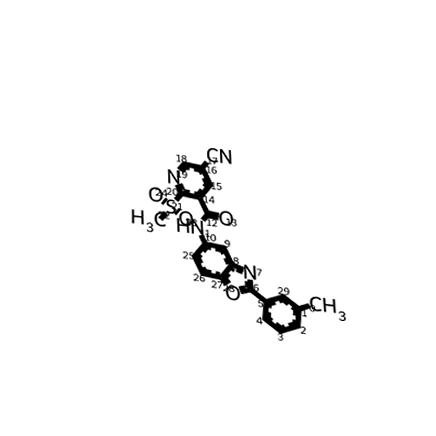 Cc1cccc(-c2nc3cc(NC(=O)c4cc(C#N)cnc4S(C)(=O)=O)ccc3o2)c1